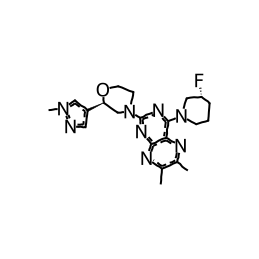 Cc1nc2nc(N3CCO[C@H](c4cnn(C)c4)C3)nc(N3CCC[C@@H](F)C3)c2nc1C